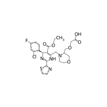 CCOC(=O)C1=C(CN2CCOCC2COCC(=O)O)NC(c2nccs2)=N[C@H]1c1ccc(F)cc1Cl